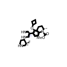 COC(=O)N1c2ccc(/C(C=N)=C/N[C@H]3CCNC[C@@H]3F)c(OC3CCC3)c2CC[C@@H]1C